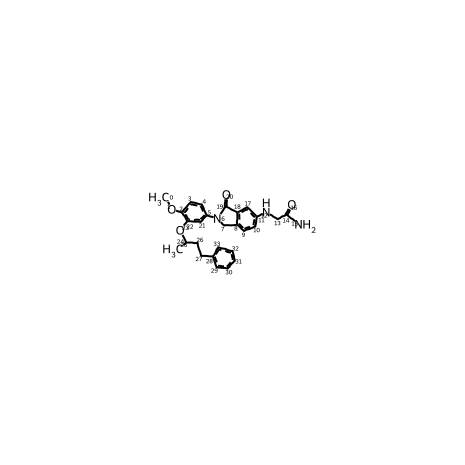 COc1ccc(N2Cc3ccc(NCC(N)=O)cc3C2=O)cc1OC(C)CCc1ccccc1